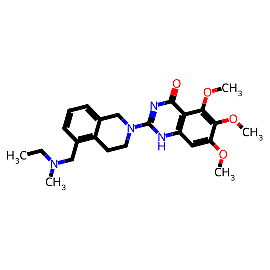 CCN(C)Cc1cccc2c1CCN(c1nc(=O)c3c(OC)c(OC)c(OC)cc3[nH]1)C2